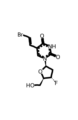 O=c1[nH]c(=O)n([C@H]2C[C@H](F)[C@@H](CO)O2)cc1C=CBr